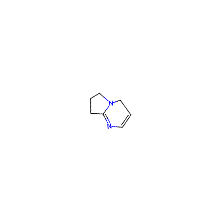 C1=CN=C2CCCN2C1